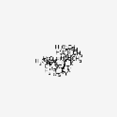 B[PH](Cc1ccc2ccc3ccc(CP(C(C)(C)C)C(C)(C)C)nc3c2n1)(C(C)(C)C)C(C)(C)C